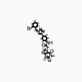 Cn1c(=O)c2c(ncn2CC(=O)Nc2ccc(-c3cn(Cc4ccccc4Br)nn3)cc2)n(C)c1=O